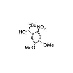 COc1cc([C@@H](O)C(C)(C)C)c([N+](=O)[O-])cc1OC